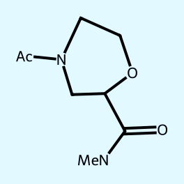 CNC(=O)C1CN(C(C)=O)CCO1